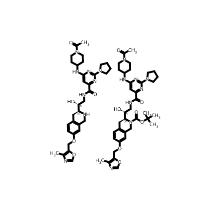 CC(=O)N1CCC(Nc2cc(C(=O)NC[C@@H](O)[C@@H]3Cc4ccc(OCc5ocnc5C)cc4CN3)nc(N3CCCC3)n2)CC1.CC(=O)N1CCC(Nc2cc(C(=O)NC[C@@H](O)[C@@H]3Cc4ccc(OCc5ocnc5C)cc4CN3C(=O)OC(C)(C)C)nc(N3CCCC3)n2)CC1